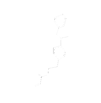 C=CC(=O)OCCc1ccc(N(CC)Cc2ccccc2)cc1